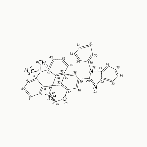 CC1(C)c2ccccc2C2(c3ccccc3Oc3cc(-c4nc5ccccc5n4-c4ccccc4)ccc32)c2ccccc21